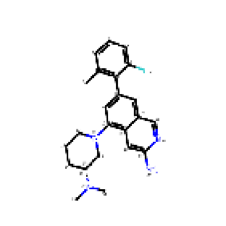 Cc1cccc(F)c1-c1cc(N2CCC[C@@H](N(C)C)C2)c2cc(N)ncc2c1